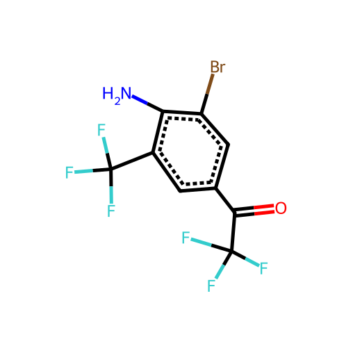 Nc1c(Br)cc(C(=O)C(F)(F)F)cc1C(F)(F)F